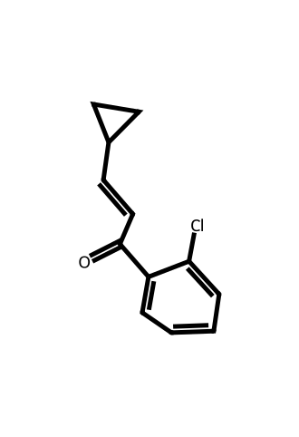 O=C(C=CC1CC1)c1ccccc1Cl